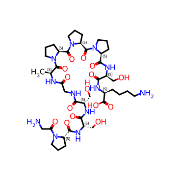 C[C@H](NC(=O)CNC(=O)[C@H](CO)NC(=O)[C@H](CO)NC(=O)[C@@H]1CCCN1C(=O)CN)C(=O)N1CCC[C@H]1C(=O)N1CCC[C@H]1C(=O)N1CCC[C@H]1C(=O)N[C@@H](CO)C(=O)N[C@@H](CCCCN)C(=O)O